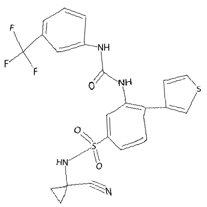 N#CC1(NS(=O)(=O)c2ccc(-c3ccsc3)c(NC(=O)Nc3cccc(C(F)(F)F)c3)c2)CC1